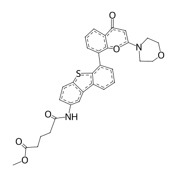 COC(=O)CCCC(=O)Nc1ccc2sc3c(-c4cccc5c(=O)cc(N6CCOCC6)oc45)cccc3c2c1